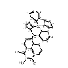 CN1C(=O)c2cccc3c(N4c5ccccc5[Si]5(c6ccccc6-c6ccccc65)c5ccccc54)ccc(c23)C1=O